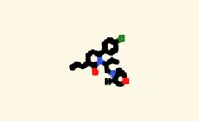 C=CCC1CCC(c2ccc(Cl)cc2)N(C(CC)CN2CC3C[C@@H]2CO3)C1=O